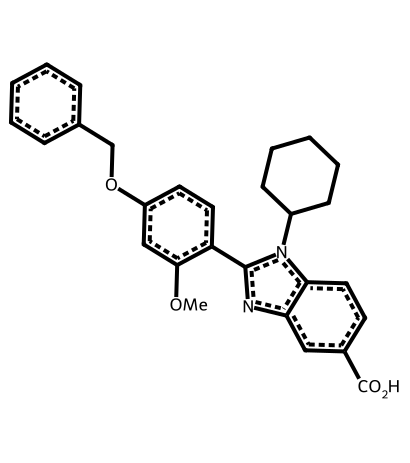 COc1cc(OCc2ccccc2)ccc1-c1nc2cc(C(=O)O)ccc2n1C1CCCCC1